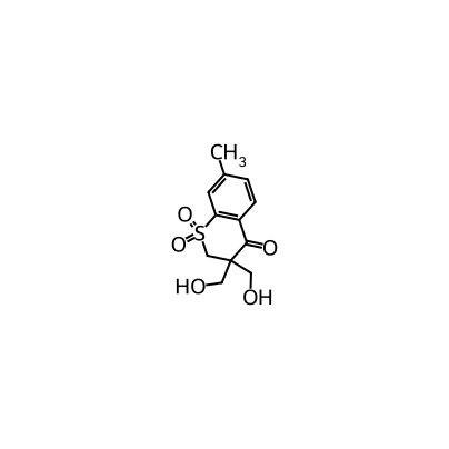 Cc1ccc2c(c1)S(=O)(=O)CC(CO)(CO)C2=O